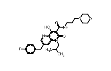 CC(C)Cn1c(=O)c(C(=O)NCCCN2CCOCC2)c(O)c2ncc(Cc3ccc(F)cc3)cc21